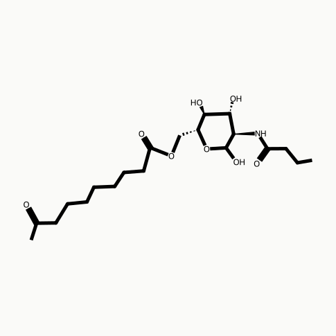 CCCC(=O)N[C@H]1C(O)O[C@H](COC(=O)CCCCCCCC(C)=O)[C@@H](O)[C@@H]1O